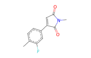 Cc1ccc(C2=CC(=O)N(C)C2=O)cc1F